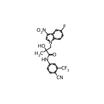 CC(O)(Cn1cc([N+](=O)[O-])c2cc(F)ccc21)C(=O)Nc1ccc(C#N)c(C(F)(F)F)c1